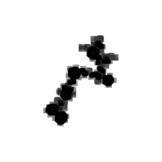 CC(C)(C)[Si](C)(C)O[C@@H](CNCCN(C(=O)CCOCCc1cccc(CCN2C[C@H]3C[C@H](OC(=O)Nc4ccccc4-c4ccccc4)C[C@H]3C2)c1)C1CCCC1)c1ccc(O)c2c1OCC(=O)N2